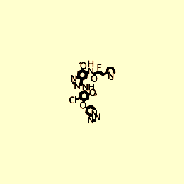 COc1cc2ncnc(Nc3cc(Cl)c(Oc4ccn5ncnc5c4)cc3OC)c2cc1NC(=O)C(F)=CC1CCCN1C